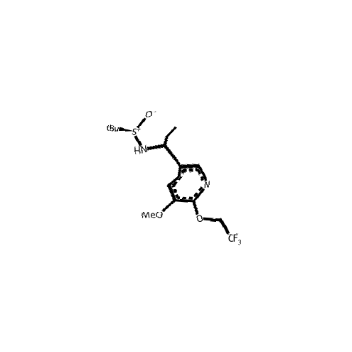 COc1cc(C(C)N[S@+]([O-])C(C)(C)C)cnc1OCC(F)(F)F